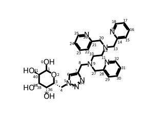 OC1O[C@H](Cn2cc(CN(CCN(Cc3ccccn3)Cc3ccccn3)Cc3ccccn3)nn2)[C@H](O)[C@H](O)[C@H]1O